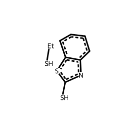 CCS.Sc1nc2ccccc2s1